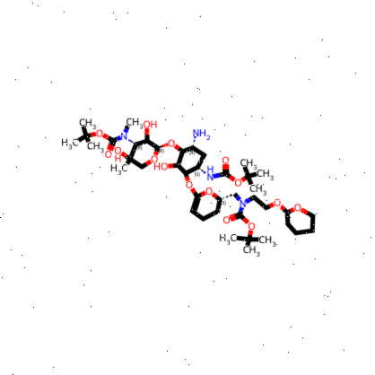 CN(C(=O)OC(C)(C)C)[C@@H]1C(O)[C@@H](OC2C(O)C(OC3=CCC[C@@H](CN(CCOC4CCCCO4)C(=O)OC(C)(C)C)O3)[C@@H](NC(=O)OC(C)(C)C)C[C@H]2N)OCC1(C)O